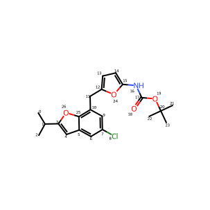 CC(C)c1cc2cc(Cl)cc(Cc3ccc(NC(=O)OC(C)(C)C)o3)c2o1